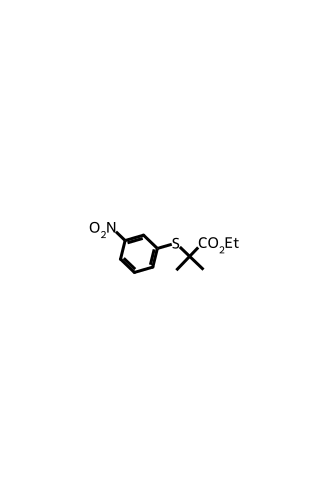 CCOC(=O)C(C)(C)Sc1cccc([N+](=O)[O-])c1